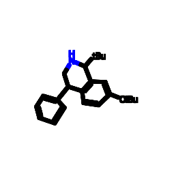 CC(C)COc1ccc2c(c1)C(C(C)(C)C)NCC2c1ccccc1